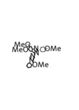 COc1cc2nc([C@H]3CC[C@H](OC)CC3)nc(N3CCN(c4ccccc4OC)CC3)c2cc1OC